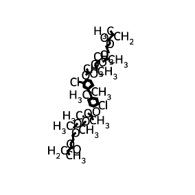 C=C(C)C(=O)OCCOC(C)OC(C)OC(C)OC(C)Oc1ccc(C(C)(C)c2ccc(OC(C)OC(C)OC(C)OC(C)OCCOC(=O)C(=C)C)c(Cl)c2)cc1Cl